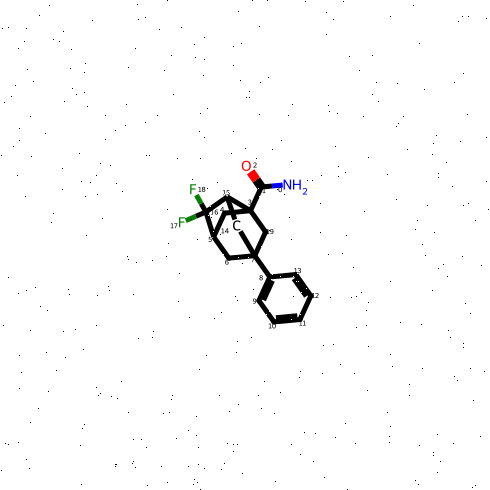 NC(=O)C12CC3CC(c4ccccc4)(CC1C3(F)F)C2